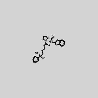 CC(C)[C@@](C#N)(CCCCC(=O)N1CCC[C@@H]1C(=O)NC1Cc2ccccc2C1)c1ccccc1